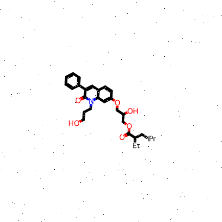 CCC(CC(C)C)C(=O)OCC(O)COC1=CC2C(C=C1)C=C(c1ccccc1)C(=O)N2CCCO